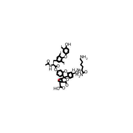 CC(=O)N[C@@H](Cc1cc(I)c(Oc2ccc(O)c(I)c2)c(I)c1)C(=O)Oc1ccc2c(c1)Oc1cc(O)ccc1C21OC(=O)c2c(C(=O)O)cccc21.NCCCC[C@H](N)C(N)=O